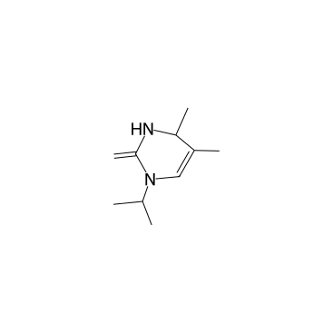 C=C1NC(C)C(C)=CN1C(C)C